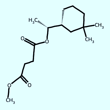 COC(=O)CCC(=O)O[C@H](C)[C@@H]1CCCC(C)(C)C1